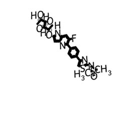 CS(C)(=O)=Nc1nc(-c2ccc(-c3nc4cc(O[C@@H]5CO[C@H]6[C@@H]5OC[C@H]6O)[nH]c4cc3F)cc2)cs1